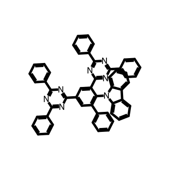 c1ccc(-c2nc(-c3ccccc3)nc(-c3cc(-c4ccccc4)c(-n4c5ccccc5c5ccccc54)c(-c4nc(-c5ccccc5)nc(-c5ccccc5)n4)c3)n2)cc1